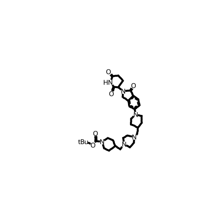 CC(C)(C)OC(=O)N1CCC(CN2CCN(CC3CCN(c4ccc5c(c4)CN(C4CCC(=O)NC4=O)C5=O)CC3)CC2)CC1